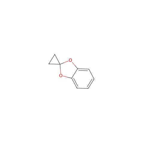 c1ccc2c(c1)OC1(CC1)O2